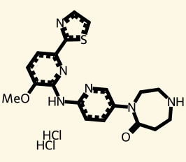 COc1ccc(-c2nccs2)nc1Nc1ccc(N2CCNCCC2=O)cn1.Cl.Cl